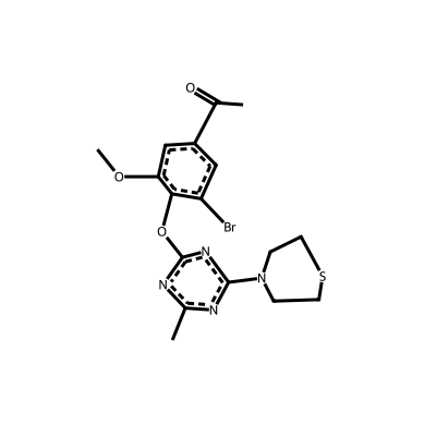 COc1cc(C(C)=O)cc(Br)c1Oc1nc(C)nc(N2CCSCC2)n1